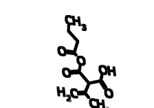 C=C(C)C(C(=O)O)C(=O)OC(=O)CCC